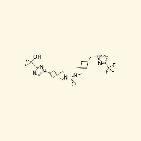 O=C(N1CC2(CC(Cn3ccc(C(F)(F)F)n3)C2)C1)N1CC2(CC(n3cnc(C4(O)CC4)n3)C2)C1